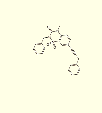 CN1C(=O)N(Cc2ccccc2)S(=O)(=O)c2cc(C#CCc3ccccc3)ccc21